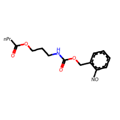 CCCC(=O)OCCCNC(=O)OCc1ccccc1N=O